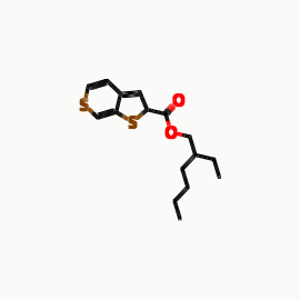 CCCCC(CC)COC(=O)C1C=C2C=CSC=C2S1